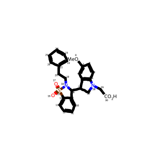 COc1ccc2c(c1)C(C1c3ccccc3S(=O)(=O)N1CCc1ccccc1)CN2CC(=O)O